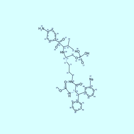 COC(=O)N[C@H](C(=O)NCCCC[C@@H](COP(=O)(O)O)NC(C(C)C)S(=O)(=O)c1ccc(N)cc1)C(c1ccccc1)c1ccc[c]([Na])c1